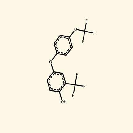 Oc1ccc(Oc2ccc(OC(F)(F)F)cc2)cc1C(F)(F)F